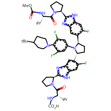 COC(=O)N[C@H](C(=O)N1CCC[C@H]1c1nc2cc([C@H]3CC[C@H](c4cc5nc([C@@H]6CCCN6C(=O)[C@@H](NC(=O)O)C(C)C)[nH]c5cc4F)N3c3cc(F)c(N4CCC(C(C)(C)C)CC4)c(F)c3)c(F)cc2[nH]1)C(C)C